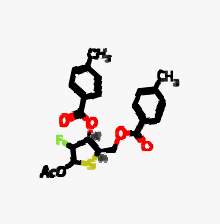 CC(=O)OC1S[C@H](COC(=O)c2ccc(C)cc2)[C@@H](OC(=O)c2ccc(C)cc2)C1F